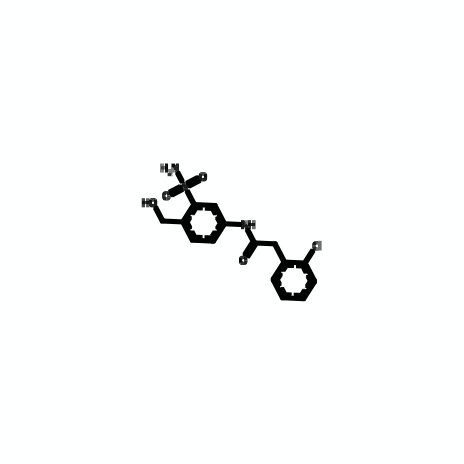 NS(=O)(=O)c1cc(NC(=O)Cc2ccccc2Cl)ccc1CO